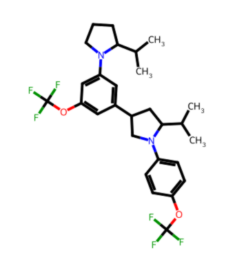 CC(C)C1CCCN1c1cc(OC(F)(F)F)cc(C2CC(C(C)C)N(c3ccc(OC(F)(F)F)cc3)C2)c1